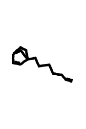 C=CCCCCCC12C=CC(CC1)C2